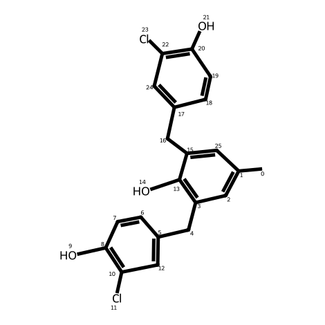 Cc1cc(Cc2ccc(O)c(Cl)c2)c(O)c(Cc2ccc(O)c(Cl)c2)c1